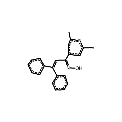 Cc1cc(C(C=C(c2ccccc2)c2ccccc2)=NO)cc(C)n1